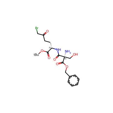 CC(C)(C)OC(=O)[C@H](CCC(=O)CBr)NC(=O)[C@@](N)(CO)C(=O)OCc1ccccc1